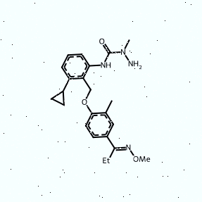 CCC(=NOC)c1ccc(OCc2c(NC(=O)N(C)N)cccc2C2CC2)c(C)c1